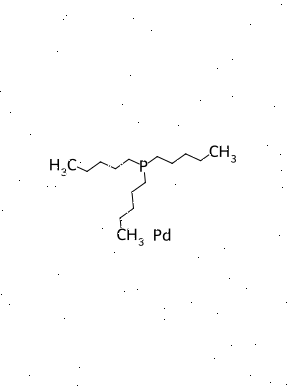 CCCCCP(CCCCC)CCCCC.[Pd]